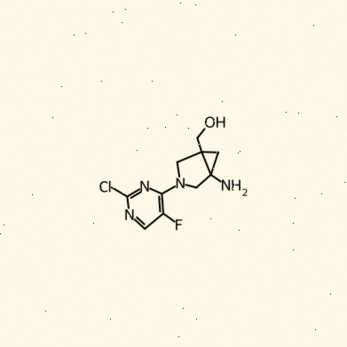 NC12CN(c3nc(Cl)ncc3F)CC1(CO)C2